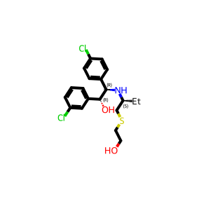 CC[C@@H](CSCCO)N[C@H](c1ccc(Cl)cc1)[C@H](O)c1cccc(Cl)c1